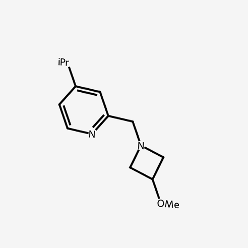 COC1CN(Cc2cc(C(C)C)ccn2)C1